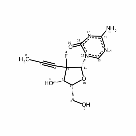 CC#CC1(F)[C@@H](O)[C@@H](CO)O[C@H]1n1cnc(N)nc1=O